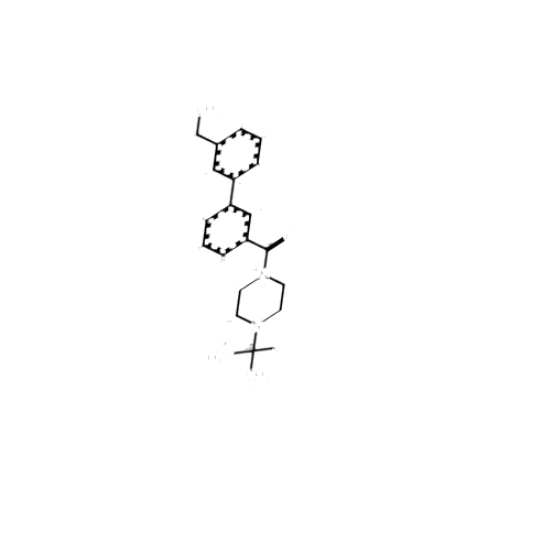 CCc1cccc(-c2cccc(C(=O)N3CCN(C(C)(C)C)CC3)c2)c1